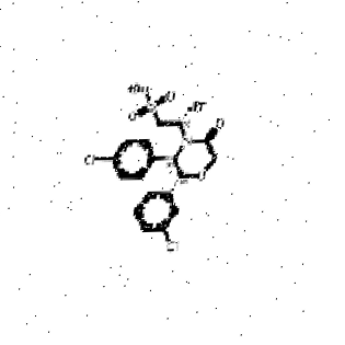 CC(C)[C@@H](CS(=O)(=O)C(C)(C)C)N1C(=O)CO[C@H](c2cccc(Cl)c2)[C@H]1c1ccc(Cl)cc1